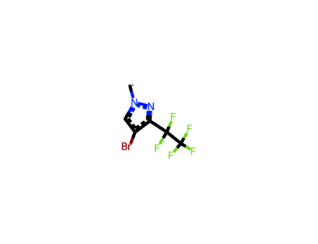 [CH2]n1cc(Br)c(C(F)(F)C(F)(F)F)n1